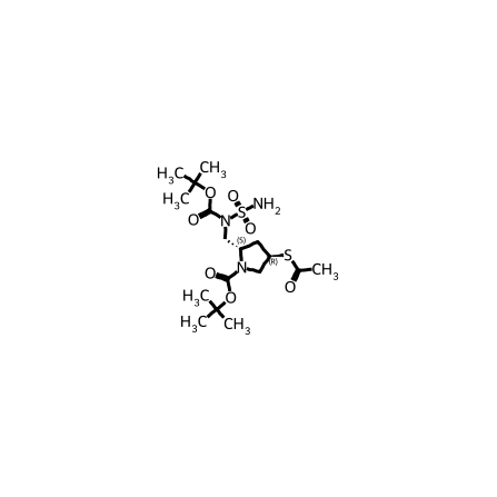 CC(=O)S[C@@H]1C[C@@H](CN(C(=O)OC(C)(C)C)S(N)(=O)=O)N(C(=O)OC(C)(C)C)C1